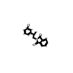 CC(CN1C(=O)c2ccccc2C1=O)c1cccc(Cl)c1